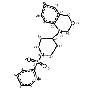 O=S(=O)(c1ccccn1)N1CCC(N2COCc3ccccc32)CC1